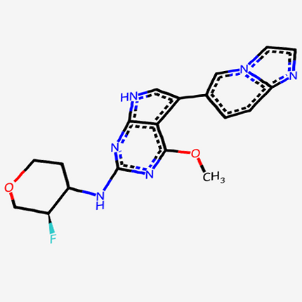 COc1nc(NC2CCOC[C@@H]2F)nc2[nH]cc(-c3ccc4nccn4c3)c12